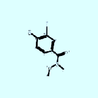 CON(C)C(=O)c1ccc(Cl)c(I)c1